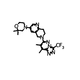 Cc1c(N2CCc3ncc(N4CCOC(C)(C)C4)cc3C2)nn2c(C(F)(F)F)nnc2c1C